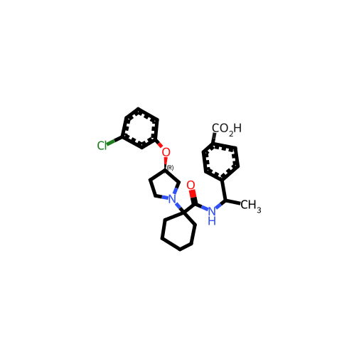 CC(NC(=O)C1(N2CC[C@@H](Oc3cccc(Cl)c3)C2)CCCCC1)c1ccc(C(=O)O)cc1